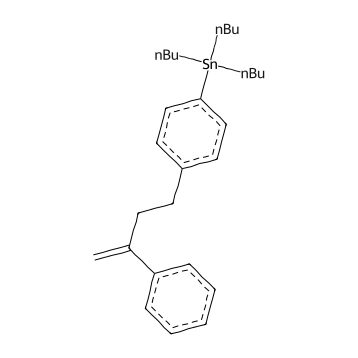 C=C(CCc1cc[c]([Sn]([CH2]CCC)([CH2]CCC)[CH2]CCC)cc1)c1ccccc1